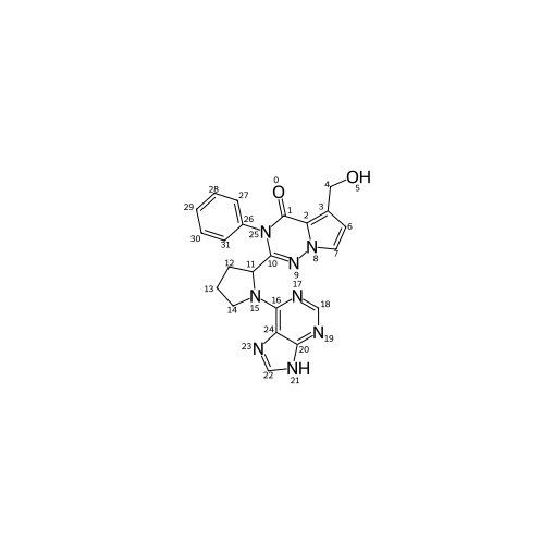 O=c1c2c(CO)ccn2nc(C2CCCN2c2ncnc3[nH]cnc23)n1-c1ccccc1